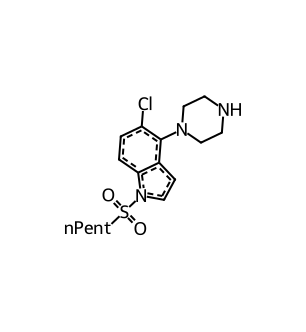 CCCCCS(=O)(=O)n1ccc2c(N3CCNCC3)c(Cl)ccc21